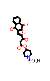 O=C(CC(=O)c1cc2c(o1)C(=O)c1ccccc1C2=O)OC1CCN(C(=O)O)CC1